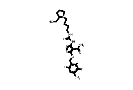 Cc1cc(F)c(COc2nsc(NC(=O)NCCCCN3CCCC3CO)c2C(N)=O)c(F)c1F